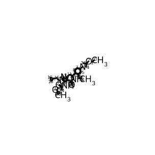 CCOC1CN(c2ccc(C3Cc4nn(CCC5CC5)c(NC(=O)C[S+](C)[O-])c4C(=O)N3)c(CC)c2)C1